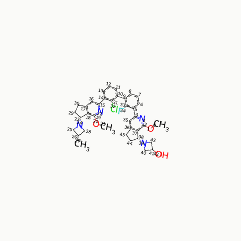 COc1nc(-c2cccc(-c3cccc(-c4cc5c(c(OC)n4)[C@H](N4CC(C)C4)CC5)c3Cl)c2F)cc2c1[C@H](N1CC(O)C1)CC2